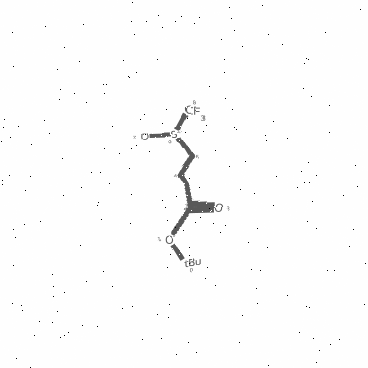 CC(C)(C)OC(=O)CC[S+]([O-])C(F)(F)F